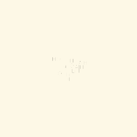 O=[Si](O)O.[AlH3].[AlH3].[LiH].[LiH]